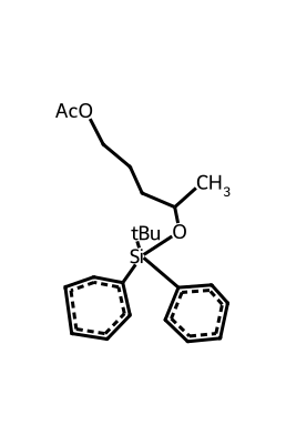 CC(=O)OCCCC(C)O[Si](c1ccccc1)(c1ccccc1)C(C)(C)C